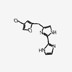 Clc1coc(Cc2c[nH]c(-c3ncc[nH]3)n2)c1